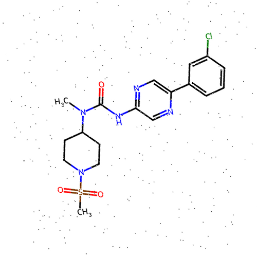 CN(C(=O)Nc1cnc(-c2cccc(Cl)c2)cn1)C1CCN(S(C)(=O)=O)CC1